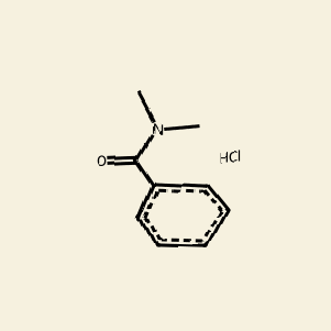 CN(C)C(=O)c1ccccc1.Cl